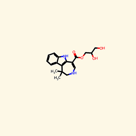 CC1(C)CNC=C(C(=O)OCC(O)CO)c2[nH]c3ccccc3c21